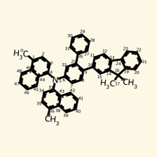 Cc1ccc(N(c2ccc(-c3ccc4c(c3)C(C)(C)c3ccccc3-4)c(-c3ccccc3)c2)c2ccc(C)c3ccccc23)c2ccccc12